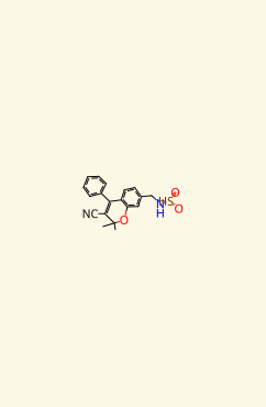 CC1(C)Oc2cc(CN[SH](=O)=O)ccc2C(c2ccccc2)=C1C#N